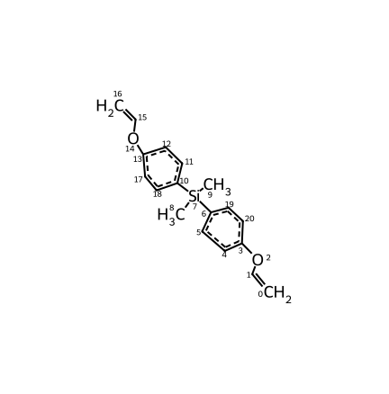 C=COc1ccc([Si](C)(C)c2ccc(OC=C)cc2)cc1